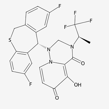 C[C@@H](N1CN([C@H]2c3cc(F)ccc3CSc3ccc(F)cc32)n2ccc(=O)c(O)c2C1=O)C(F)(F)F